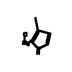 CC1=C[SH]C=C1.[Mg+2][Cl]